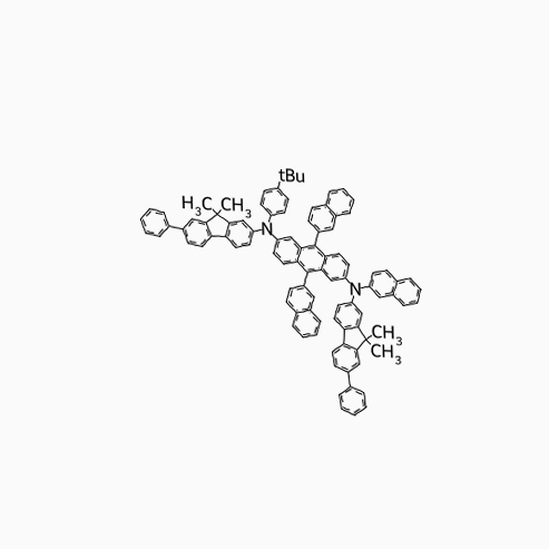 CC(C)(C)c1ccc(N(c2ccc3c(c2)C(C)(C)c2cc(-c4ccccc4)ccc2-3)c2ccc3c(-c4ccc5ccccc5c4)c4cc(N(c5ccc6c(c5)C(C)(C)c5cc(-c7ccccc7)ccc5-6)c5ccc6ccccc6c5)ccc4c(-c4ccc5ccccc5c4)c3c2)cc1